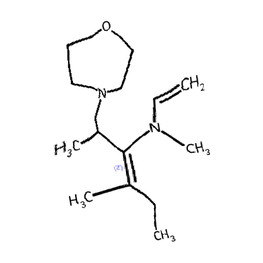 C=CN(C)/C(=C(/C)CC)C(C)N1CCOCC1